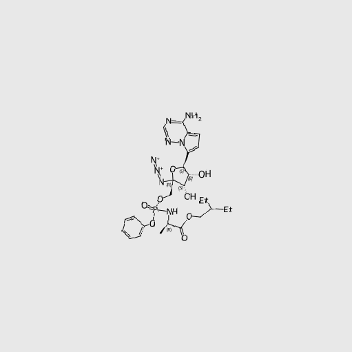 CCC(CC)COC(=O)[C@@H](C)NP(=O)(OC[C@@]1(N=[N+]=[N-])O[C@@H](c2ccc3c(N)ncnn23)[C@H](O)[C@@H]1O)Oc1ccccc1